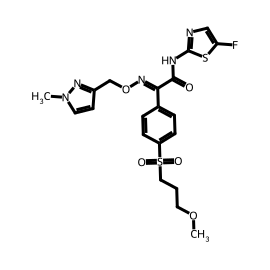 COCCCS(=O)(=O)c1ccc(/C(=N\OCc2ccn(C)n2)C(=O)Nc2ncc(F)s2)cc1